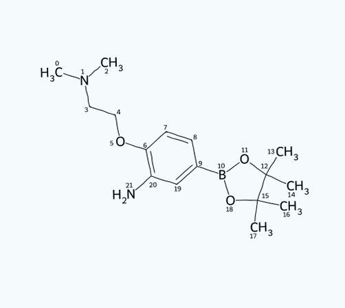 CN(C)CCOc1ccc(B2OC(C)(C)C(C)(C)O2)cc1N